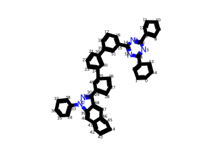 c1ccc(-c2nc(-c3ccccc3)nc(-c3cccc(-c4cccc(-c5cccc(-c6nn(-c7ccccc7)c7cc8ccccc8cc67)c5)c4)c3)n2)cc1